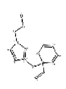 C=CC1(C[n+]2ccn(CCO)c2)C=CC=CC1